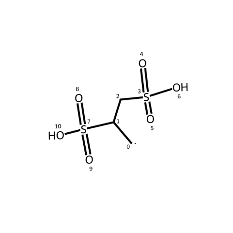 [CH2]C(CS(=O)(=O)O)S(=O)(=O)O